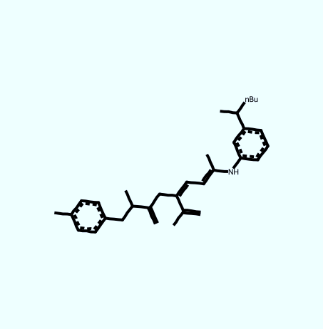 C=C(C)/C(=C\C=C(/C)Nc1cccc(C(C)CCCC)c1)CC(=C)C(C)Cc1ccc(C)cc1